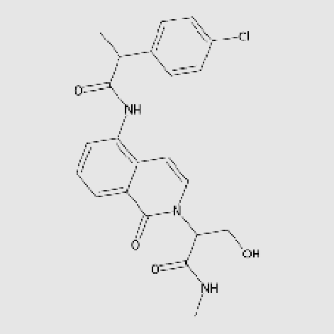 CNC(=O)C(CO)n1ccc2c(NC(=O)C(C)c3ccc(Cl)cc3)cccc2c1=O